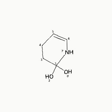 OC1(O)CCC=CN1